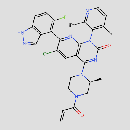 C=CC(=O)N1CCN(c2nc(=O)n(-c3c(C)ccnc3C(C)C)c3nc(-c4c(F)ccc5[nH]ncc45)c(Cl)cc23)[C@@H](C)C1